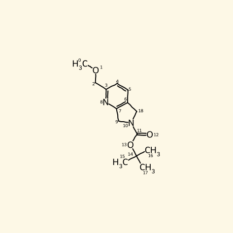 COCc1ccc2c(n1)CN(C(=O)OC(C)(C)C)C2